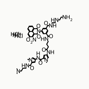 CN(C)CCCNC(=O)c1cc(NC(=O)c2cc(NC(=O)CCCNC(=O)c3cc(C(=O)NCCNCCN)cc(N4C(=O)c5cccc6cc([N+](=O)[O-])cc(c56)C4=O)c3)cn2C)cn1C.Cl.Cl.Cl